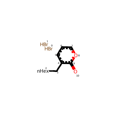 Br.Br.CCCCCCCc1cccoc1=O